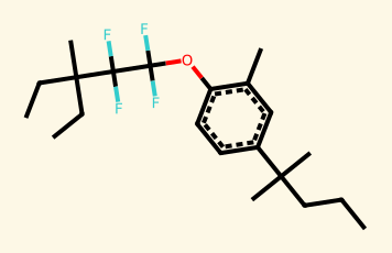 CCCC(C)(C)c1ccc(OC(F)(F)C(F)(F)C(C)(CC)CC)c(C)c1